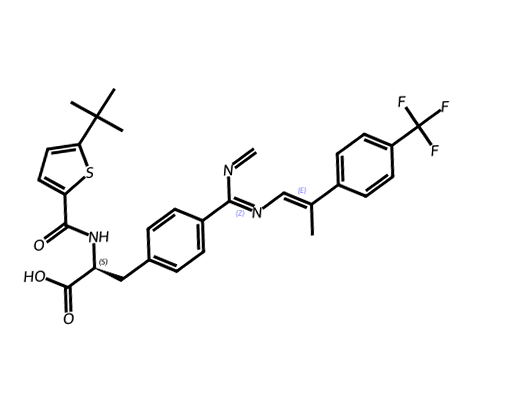 C=N/C(=N\C=C(/C)c1ccc(C(F)(F)F)cc1)c1ccc(C[C@H](NC(=O)c2ccc(C(C)(C)C)s2)C(=O)O)cc1